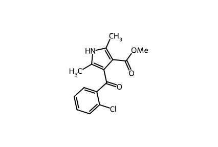 COC(=O)c1c(C)[nH]c(C)c1C(=O)c1ccccc1Cl